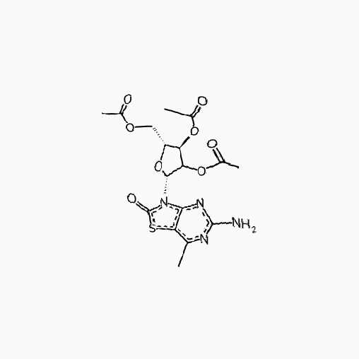 CC(=O)OC[C@H]1O[C@@H](n2c(=O)sc3c(C)nc(N)nc32)C(OC(C)=O)[C@@H]1OC(C)=O